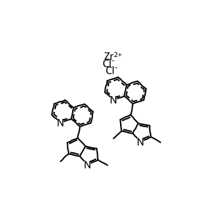 CC1=NC2=C(C)C=C(c3cccc4cccnc34)C2=C1.CC1=NC2=C(C)C=C(c3cccc4cccnc34)C2=C1.[Cl-].[Cl-].[Zr+2]